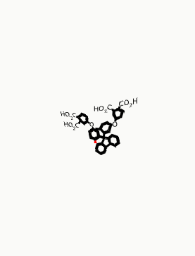 Cc1ccc(Oc2ccc(C(=O)O)c(C(=O)O)c2)cc1C1(c2cc(Oc3ccc(C(=O)O)c(C(=O)O)c3)ccc2C)c2ccccc2-c2ccccc21